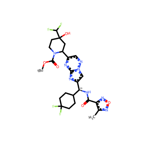 Cc1nonc1C(=O)N[C@H](c1cn2ncc(C3CC(O)(C(F)F)CCN3C(=O)OC(C)(C)C)nc2n1)C1CCC(F)(F)CC1